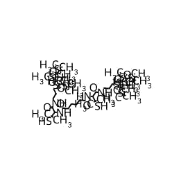 CC(C)(S)C(NC(=O)CCCCC(=O)NC(C(=O)NCCC[Si](C)(O[Si](C)(C)C)O[Si](C)(C)O[Si](C)(C)C)C(C)(C)S)C(=O)NCCC[Si](C)(O[Si](C)(C)C)O[Si](C)(C)O[Si](C)(C)C